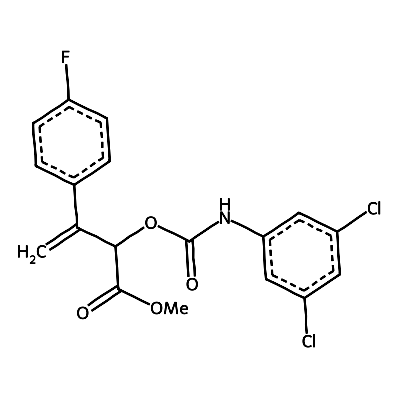 C=C(c1ccc(F)cc1)C(OC(=O)Nc1cc(Cl)cc(Cl)c1)C(=O)OC